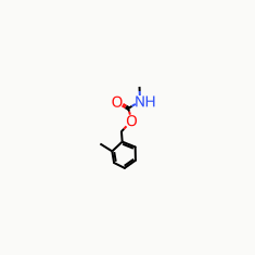 CNC(=O)OCc1ccccc1C